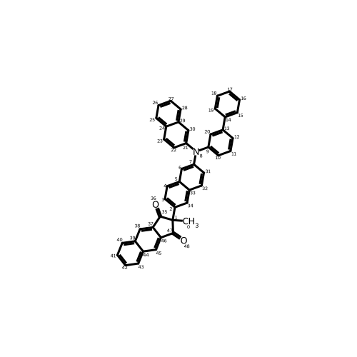 CC1(c2ccc3cc(N(c4cccc(-c5ccccc5)c4)c4ccc5ccccc5c4)ccc3c2)C(=O)c2cc3ccccc3cc2C1=O